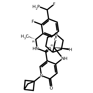 C[C@@H](NC(=O)c1cn(C23CC(C2)C3)c(=O)cc1N[C@H]1CN2CCC1CC2)c1cccc(C(F)P)c1F